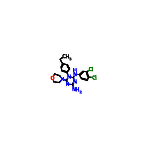 CCc1ccc(N2C(N3CCOCC3)=NC(N)=NC2Nc2ccc(Cl)c(Cl)c2)cc1